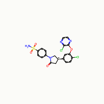 NS(=O)(=O)c1ccc(N2C[C@@H](c3ccc(Cl)c(Oc4nccnc4Cl)c3)CC2=O)cc1